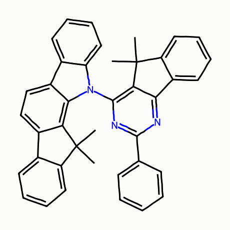 CC1(C)c2ccccc2-c2nc(-c3ccccc3)nc(-n3c4ccccc4c4ccc5c(c43)C(C)(C)c3ccccc3-5)c21